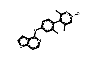 Cc1cc(Oc2nccc3occc23)ccc1-c1c(C)c[n+]([O-])nc1C